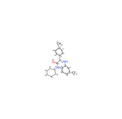 Cc1ccc(C(Nc2cccc(C(F)(F)F)c2)C(=O)NC2CCCCC2)cc1